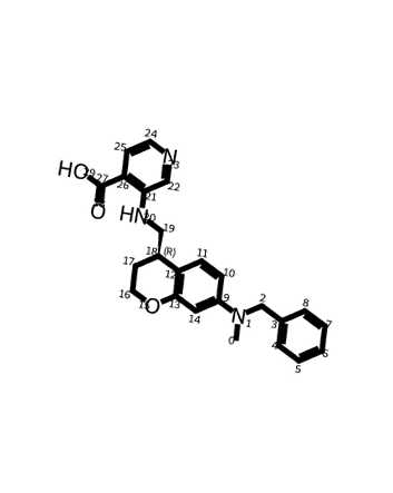 CN(Cc1ccccc1)c1ccc2c(c1)OCC[C@H]2CNc1cnccc1C(=O)O